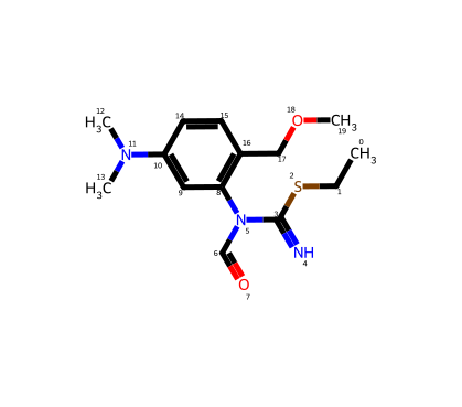 CCSC(=N)N(C=O)c1cc(N(C)C)ccc1COC